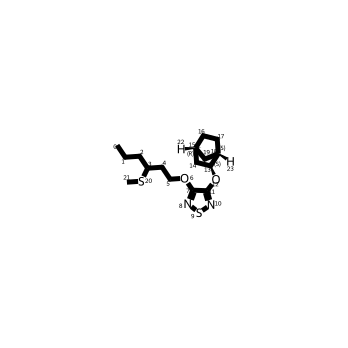 CCCC(CCOc1nsnc1O[C@H]1C[C@@H]2CC[C@H]1C2)SC